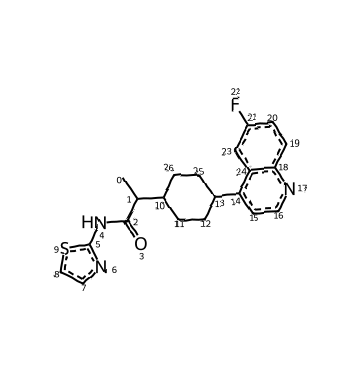 CC(C(=O)Nc1nccs1)C1CCC(c2ccnc3ccc(F)cc23)CC1